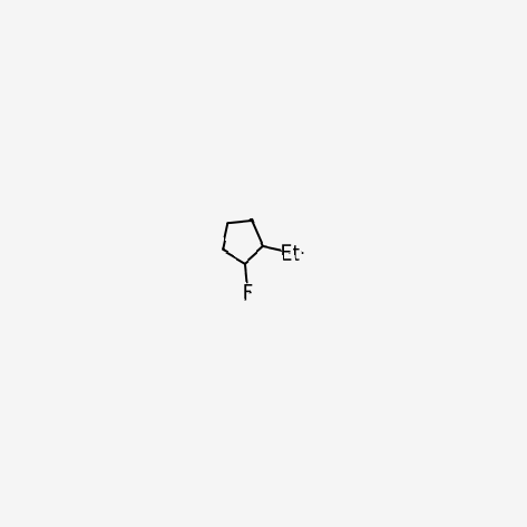 C[CH]C1CCCC1F